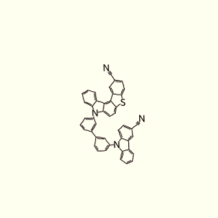 N#Cc1ccc2sc3ccc4c(c5ccccc5n4-c4cccc(-c5cccc(-n6c7ccccc7c7cc(C#N)ccc76)c5)c4)c3c2c1